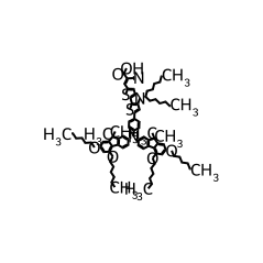 CCCCCCOc1cc(OCCCCCC)c2c(c1)C(C)(C)c1cc(N(c3ccc(-c4cc5c(s4)c4sc(/C=C(\C#N)C(=O)O)cc4n5C(CCCCCC)CCCCCC)cc3)c3ccc4c(c3)C(C)(C)c3cc(OCCCCCC)cc(OCCCCCC)c3-4)ccc1-2